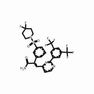 NC(=O)/C(=C/c1ccnc(-c2cc(C(F)(F)F)cc(C(F)(F)F)c2)n1)c1cccc(S(=O)(=O)N2CCC(F)(F)CC2)c1